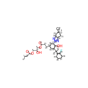 CC=CC(=O)OCC(O)COC(=O)CCc1cc(-n2nc3ccc(C(F)(F)F)cc3n2)c(O)c(C(C)(C)c2ccccc2F)c1